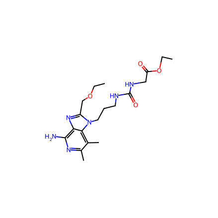 CCOCc1nc2c(N)nc(C)c(C)c2n1CCCNC(=O)NCC(=O)OCC